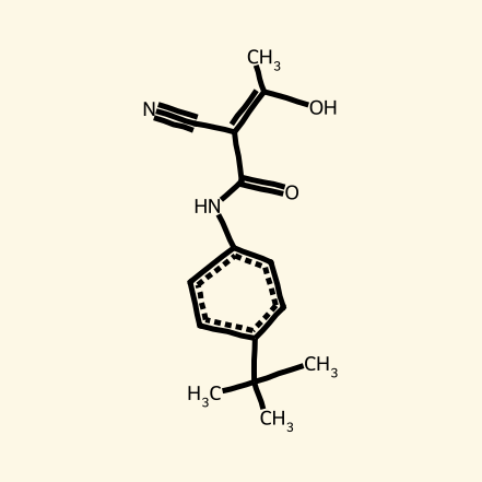 C/C(O)=C(\C#N)C(=O)Nc1ccc(C(C)(C)C)cc1